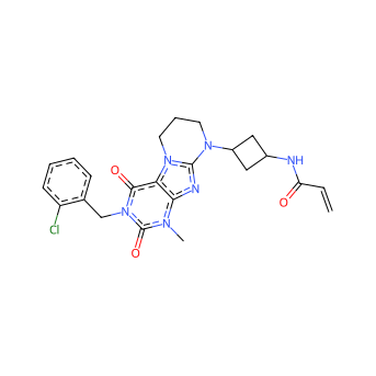 C=CC(=O)NC1CC(N2CCCn3c2nc2c3c(=O)n(Cc3ccccc3Cl)c(=O)n2C)C1